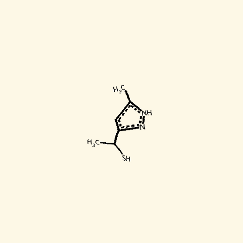 Cc1cc(C(C)S)n[nH]1